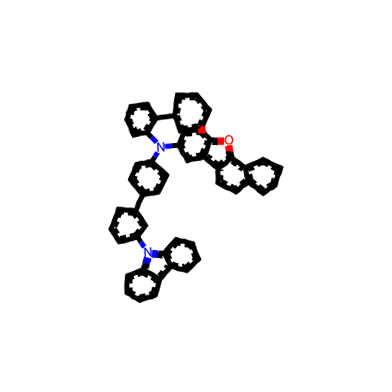 c1ccc(-c2ccccc2N(c2ccc(-c3cccc(-n4c5ccccc5c5ccccc54)c3)cc2)c2ccc3oc4c5ccccc5ccc4c3c2)cc1